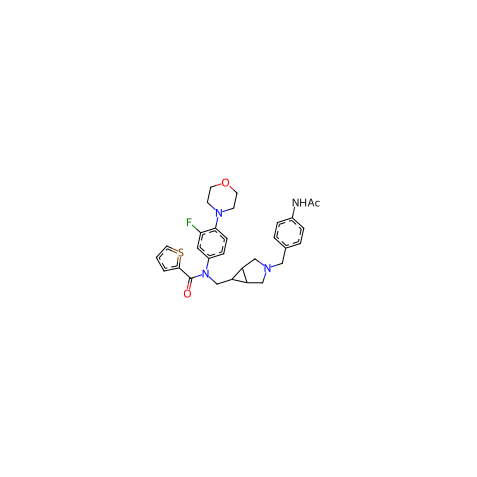 CC(=O)Nc1ccc(CN2CC3C(C2)C3CN(C(=O)c2cccs2)c2ccc(N3CCOCC3)c(F)c2)cc1